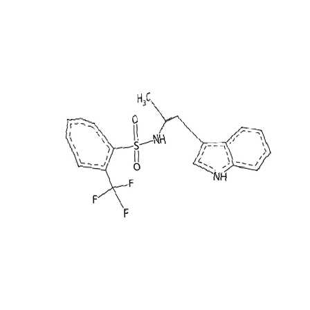 CC(Cc1c[nH]c2ccccc12)NS(=O)(=O)c1ccccc1C(F)(F)F